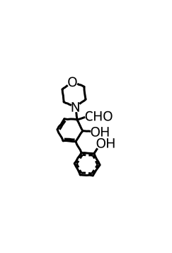 O=CC1(N2CCOCC2)C=CC=C(c2ccccc2O)C1O